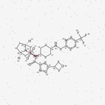 O=C(NC1C[C@H]2CC[C@@H](C1)N2S(=O)(=O)CC1CCC(NCc2ccc(C(F)(F)F)cn2)CC1)c1cc(C2COC2)on1